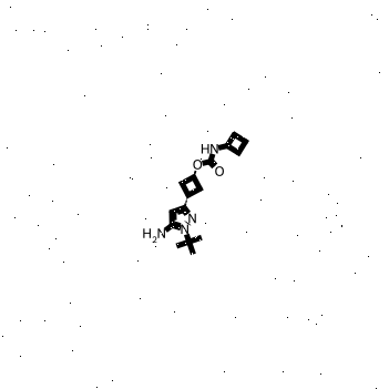 CC(C)(C)n1nc([C@H]2C[C@@H](OC(=O)NC3CCC3)C2)cc1N